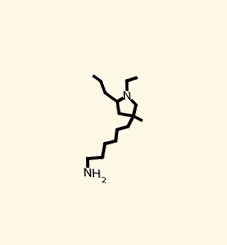 CCCC1CC(C)(CCCCCCN)CN1CC